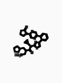 O=C(O)CC(CC1CCCC1)C(=O)N(c1nc(-c2ccccc2-c2cnc(N3CCCC3=O)cn2)cs1)C1CC1